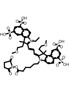 CC[N+]1=C(/C=C/C=C2/N(CCCCCC(=O)ON3C(=O)CCC3=O)c3ccc4c(S(=O)(=O)O)cc(S(=O)(=O)O)cc4c3C2(C)CCOC)C(C)(CCOC)c2c1ccc1c(S(=O)(=O)O)cc(S(=O)(=O)O)cc21